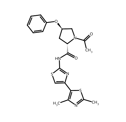 CC(=O)N1C[C@H](Oc2ccccc2)C[C@H]1C(=O)Nc1nc(-c2sc(C)nc2C)cs1